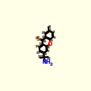 Cc1ccc2oc3cc(C(C)(C)N)ccc3c(=S)c2c1